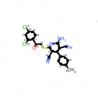 Cc1ccc(-c2c(C#N)c(N)nc(SCC(=O)c3ccc(Cl)cc3Cl)c2C#N)cc1